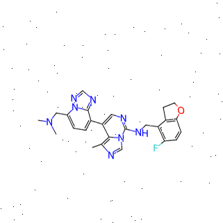 Cc1ncn2c(NCc3c(F)ccc4c3CCO4)ncc(-c3ccc(CN(C)C)n4ncnc34)c12